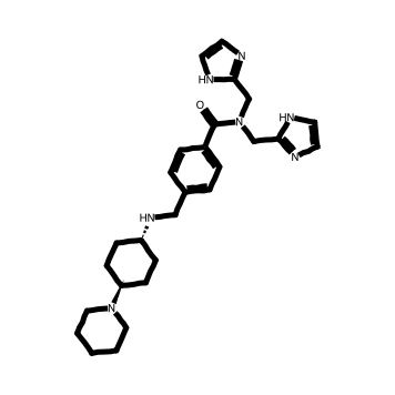 O=C(c1ccc(CN[C@H]2CC[C@H](N3CCCCC3)CC2)cc1)N(Cc1ncc[nH]1)Cc1ncc[nH]1